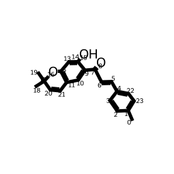 Cc1ccc(/C=C/C(=O)c2cc3c(cc2O)OC(C)(C)C=C3)cc1